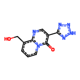 O=c1c(-c2nn[nH]n2)cnc2c(CO)cccn12